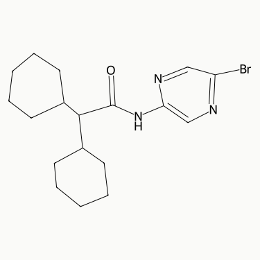 O=C(Nc1cnc(Br)cn1)C(C1CCCCC1)C1CCCCC1